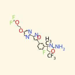 C[C@@]1(c2cc(-c3cc(-c4ncc(OCCOC(F)F)cn4)no3)ccc2F)C[C@@H](C(F)(F)F)OC(N)=N1